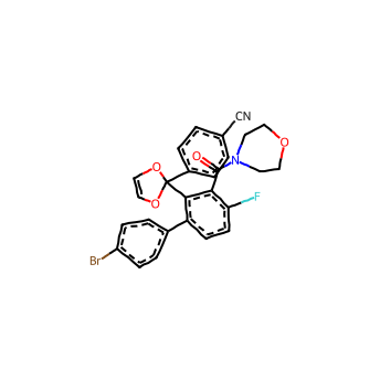 N#Cc1ccc(C2(c3c(-c4ccc(Br)cc4)ccc(F)c3C(=O)N3CCOCC3)OC=CO2)cc1